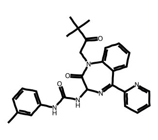 Cc1cccc(NC(=O)NC2N=C(c3ccccn3)c3ccccc3N(CC(=O)C(C)(C)C)C2=O)c1